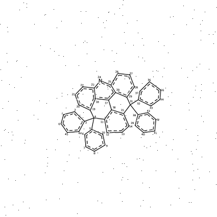 c1ccc(C2(c3ccccc3)c3cccc4c3-c3c5c2cccc5nc2cccc(c32)C4(c2ccccc2)c2ccccc2)cc1